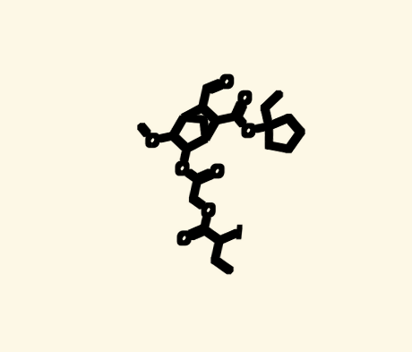 CCC(I)C(=O)OCC(=O)OC1C2CC(C(C=O)C2C(=O)OC2(CC)CCCC2)C1OC